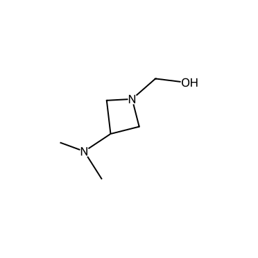 CN(C)C1CN(CO)C1